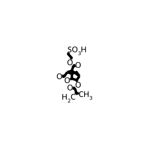 C=C(C)C(=O)OC1C2CC3C1OC(=O)C3C2C(=O)OCCS(=O)(=O)O